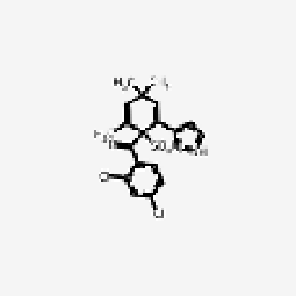 CC1=CC(C)(C)C=C(c2cc[nH]n2)C1(C(=O)c1ccc(Cl)cc1Cl)S(=O)(=O)O